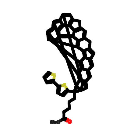 COC(=O)CCCCC1(c2ccc(-c3cccs3)s2)C23C=c4cc5cc6cc7c8c6c6c5c5c4C21c1c2c(cc4c9c%10c(cc(c%11c%10c%10c(c1c5c6c%10c8%11)c29)C7)C4)C3